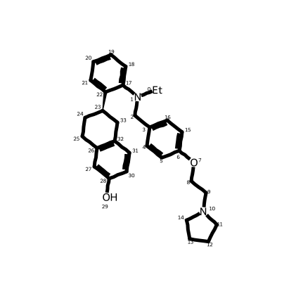 CCN(Cc1ccc(OCCN2CCCC2)cc1)c1ccccc1[C@@H]1CCc2cc(O)ccc2C1